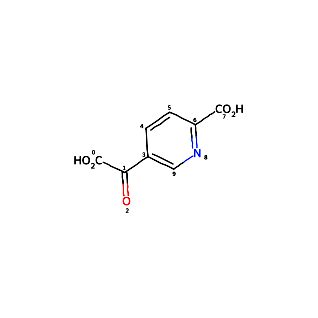 O=C(O)C(=O)c1ccc(C(=O)O)nc1